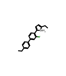 CCC1=CC=C(c2ccc(-c3ccc(CC)cc3)cc2F)[SeH2]1